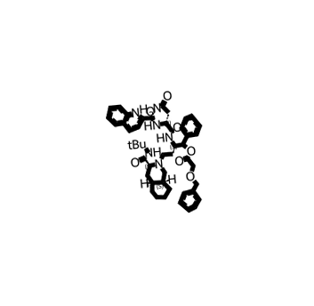 CC(C)(C)NC(=O)[C@@H]1C[C@@H]2CCCC[C@@H]2CN1CC[C@H](NC(=O)[C@@H](CC(N)=O)NC(=O)c1ccc2ccccc2n1)C(OC(=O)COCc1ccccc1)c1ccccc1